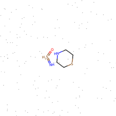 C1CSCCN1.N=[SH2]=O